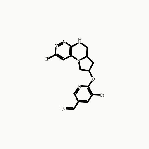 C=Cc1cnc(OC2CC3CNc4nnc(Cl)cc4N3C2)c(CC)c1